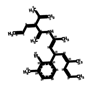 C=C/C=C(/C(=C)C)C(=C)N/C(C)=C/C(/C=C(\C=C/C)C(F)(F)F)c1cccc(C)c1CC